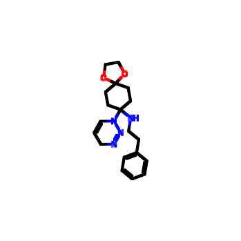 C1=CN(C2(NCCc3ccccc3)CCC3(CC2)OCCO3)N=NC1